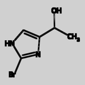 CC(O)c1c[nH]c(Br)n1